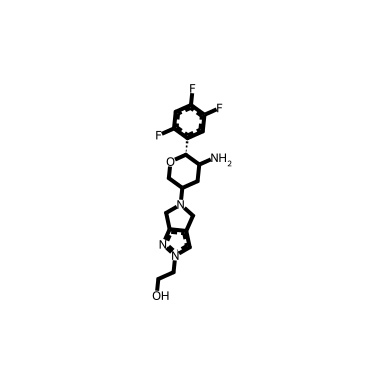 NC1CC(N2Cc3cn(CCO)nc3C2)CO[C@@H]1c1cc(F)c(F)cc1F